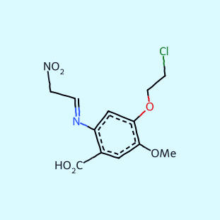 COc1cc(C(=O)O)c(N=CC[N+](=O)[O-])cc1OCCCl